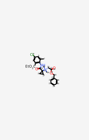 CCOC(=O)c1cc(Cl)cc(C)c1NC(=O)C1([N+](C)(C)CC(=O)OCc2ccccc2)CC1